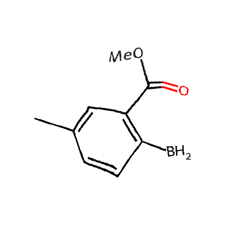 Bc1ccc(C)cc1C(=O)OC